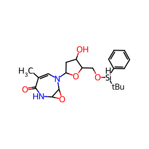 CC1=CN(C2CC(O)C(CO[SiH](c3ccccc3)C(C)(C)C)O2)C2OC2NC1=O